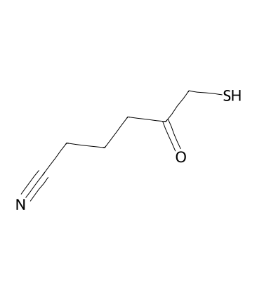 N#CCCCC(=O)CS